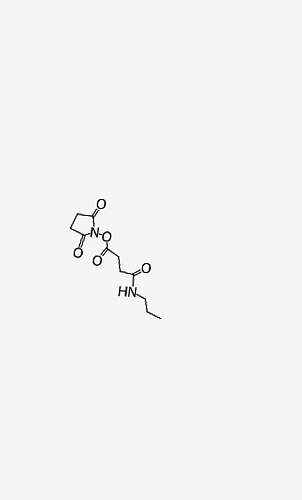 CCCNC(=O)CCC(=O)ON1C(=O)CCC1=O